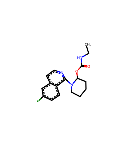 CCNC(=O)OC1CCCCN1c1nccc2cc(F)ccc12